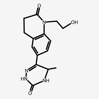 CC1NC(=O)NN=C1c1ccc2c(c1)CCC(=O)N2CCO